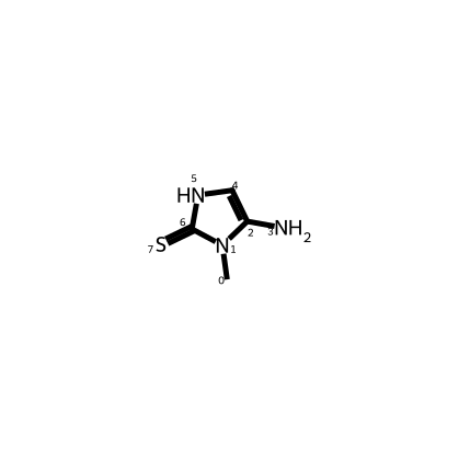 Cn1c(N)c[nH]c1=S